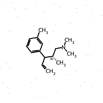 C=CC(c1cccc(C)c1)[C@@H](C)CN(C)C